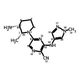 C[C@@H]1[C@H](N)CCCN1c1cnc(C#N)c(Nc2cnn(C)c2)n1